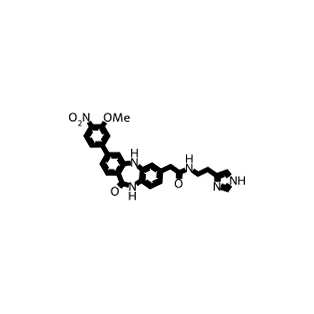 COc1cc(-c2ccc3c(c2)Nc2cc(CC(=O)NCCc4c[nH]cn4)ccc2NC3=O)ccc1[N+](=O)[O-]